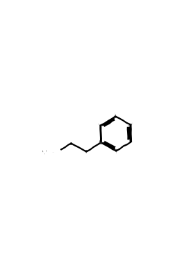 COCCc1[c]cccc1